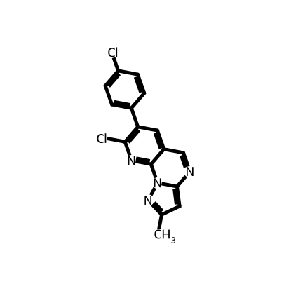 Cc1cc2ncc3cc(-c4ccc(Cl)cc4)c(Cl)nc3n2n1